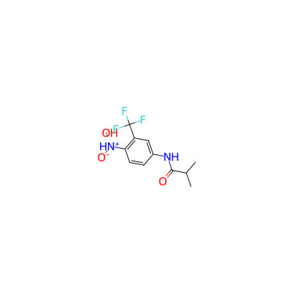 CC(C)C(=O)Nc1ccc([NH+]([O-])O)c(C(F)(F)F)c1